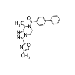 Cc1coc(-c2nnc3n2CCN(C(=O)c2ccc(-c4ccccc4)cc2)[C@@H]3C)n1